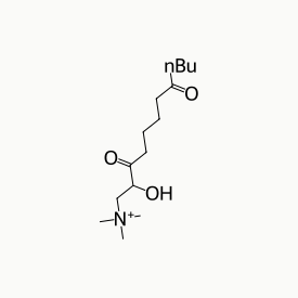 CCCCC(=O)CCCCC(=O)C(O)C[N+](C)(C)C